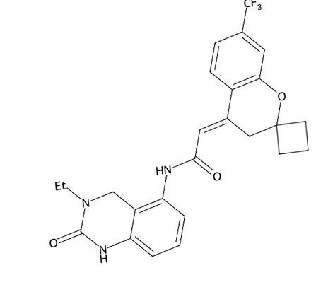 CCN1Cc2c(NC(=O)/C=C3\CC4(CCC4)Oc4cc(C(F)(F)F)ccc43)cccc2NC1=O